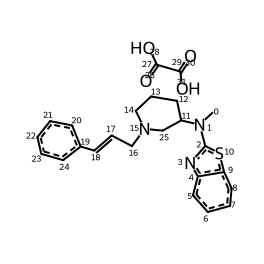 CN(c1nc2ccccc2s1)C1CCCN(C/C=C/c2ccccc2)C1.O=C(O)C(=O)O